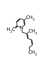 C=C1C=CC(C)=CN1C/C(C)=C/C=C\CC